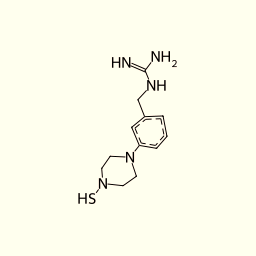 N=C(N)NCc1cccc(N2CCN(S)CC2)c1